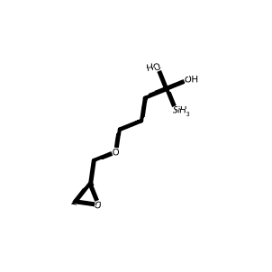 OC(O)([SiH3])CCCOCC1CO1